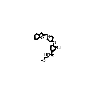 COCCNC(=O)c1ccc(OC2CCN(Cc3cc4ccccc4o3)CC2)c(Cl)c1